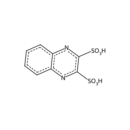 O=S(=O)(O)c1nc2ccccc2nc1S(=O)(=O)O